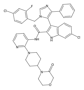 O=C(Nc1cccnc1N1CCC(N2CCOCC2=O)CC1)c1[nH]c2cc(Cl)ccc2c1-c1c(-c2ccccc2)ncn1Cc1ccc(Cl)cc1F